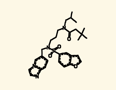 CC(C)CN(CCCN(Cc1ccc2nccn2c1)S(=O)(=O)c1ccc2occc2c1)C(=O)CC(C)(C)C